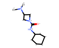 CCN(CC)C1CN(C(=O)NC2CCCCC2)C1